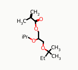 C=C(C)C(=O)OCC(COC(C)(C)CC)OC(C)C